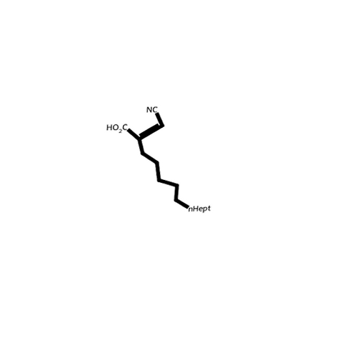 CCCCCCCCCCCCC(=CC#N)C(=O)O